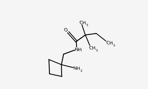 CCC(C)(C)C(=O)NCC1(N)CCC1